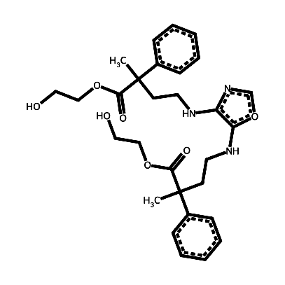 CC(CCNc1ncoc1NCCC(C)(C(=O)OCCO)c1ccccc1)(C(=O)OCCO)c1ccccc1